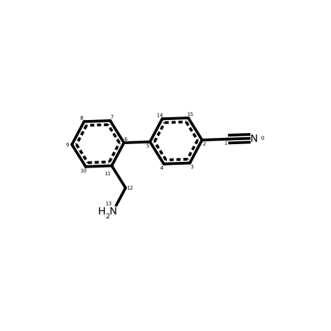 N#Cc1ccc(-c2ccccc2CN)cc1